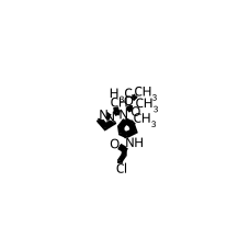 Cc1cc(NC(=O)CCCl)ccc1N(C(=O)OC(C)(C)C)C(C)n1cccn1